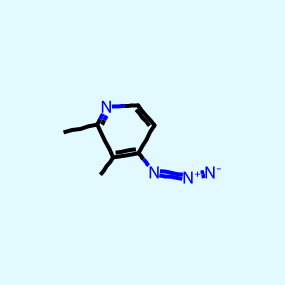 Cc1nccc(N=[N+]=[N-])c1C